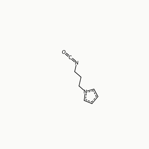 O=C=NCCCn1cccc1